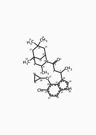 CC(CC(=O)N1C(C)CC2(C)CC1CC(C)(C)C2)c1c[nH]c2ccc(Cl)c(OC3CC3)c12